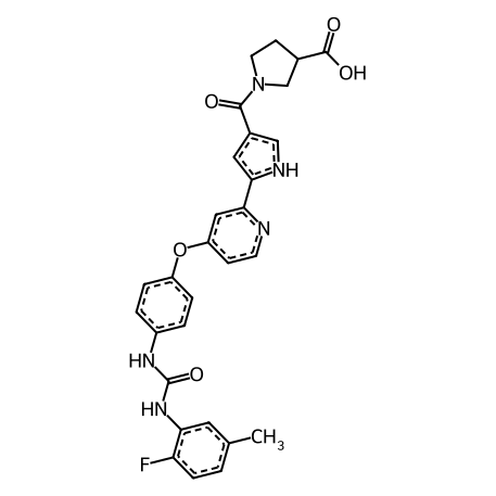 Cc1ccc(F)c(NC(=O)Nc2ccc(Oc3ccnc(-c4cc(C(=O)N5CCC(C(=O)O)C5)c[nH]4)c3)cc2)c1